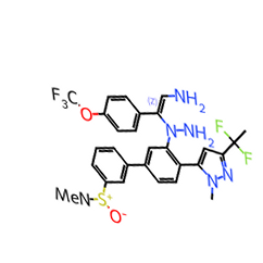 CN[S+]([O-])c1cccc(-c2ccc(-c3cc(C(C)(F)F)nn3C)c(N(N)/C(=C\N)c3ccc(OC(F)(F)F)cc3)c2)c1